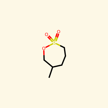 CC1CCCS(=O)(=O)OC1